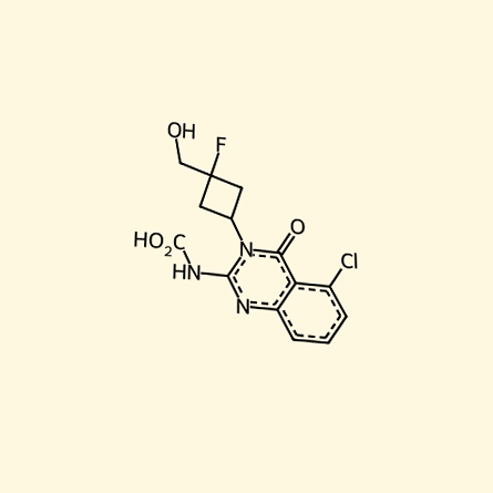 O=C(O)Nc1nc2cccc(Cl)c2c(=O)n1C1CC(F)(CO)C1